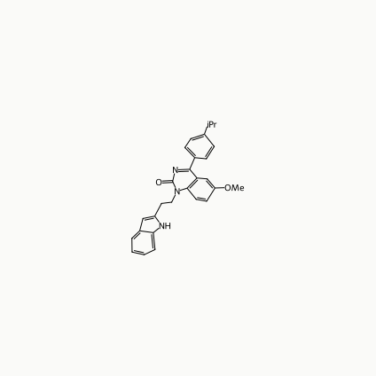 COc1ccc2c(c1)c(-c1ccc(C(C)C)cc1)nc(=O)n2CCc1cc2ccccc2[nH]1